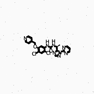 C[C@H](NC(=O)Nc1cc(OCc2ccncc2)c(Cl)cc1Cl)c1ncnn1-c1ncccn1